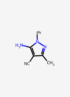 Cc1nn(C(C)C)c(N)c1C#N